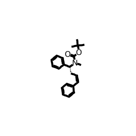 CN(C(=O)OC(C)(C)C)[C@H](C/C=C\c1ccccc1)c1ccccc1